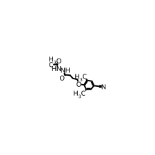 CC(=O)NNC(=O)CCCOc1c(C)cc(C#N)cc1C